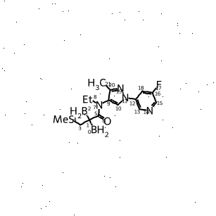 BC(B)(CSC)C(=O)N(CC)c1cn(-c2cncc(F)c2)nc1C